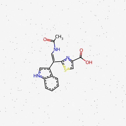 CC(=O)NC=C(c1nc(C(=O)O)cs1)c1c[nH]c2ccccc12